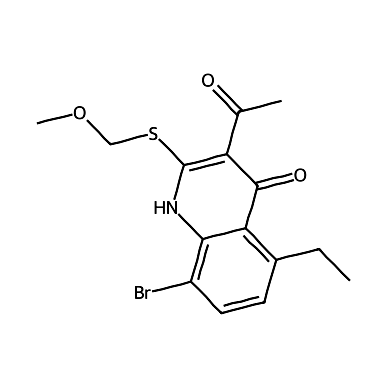 CCc1ccc(Br)c2[nH]c(SCOC)c(C(C)=O)c(=O)c12